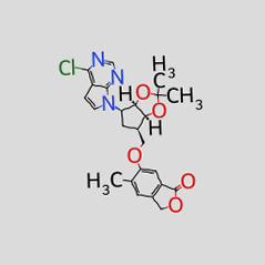 Cc1cc2c(cc1OC[C@H]1C[C@@H](n3ccc4c(Cl)ncnc43)[C@@H]3OC(C)(C)O[C@H]13)C(=O)OC2